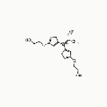 C[CH]=[Zr+2]([C]1=CC(OCCO)=CC1)[C]1=CC(OCCO)=CC1.[Cl-].[Cl-]